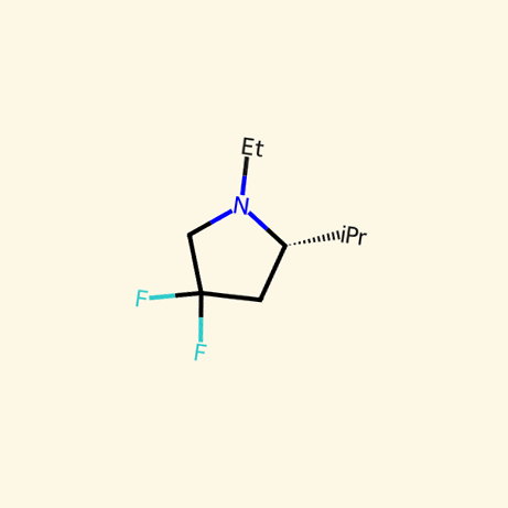 CCN1CC(F)(F)C[C@H]1C(C)C